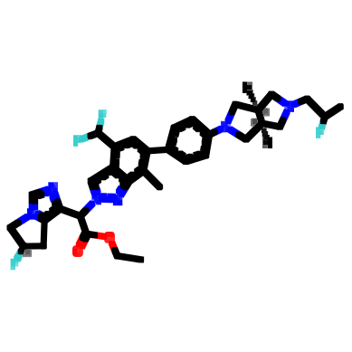 CCOC(=O)C(c1ncn2c1C[C@@H](F)C2)n1cc2c(C(F)F)cc(-c3ccc(N4C[C@H]5CN(CC(C)F)C[C@H]5C4)cc3)c(C)c2n1